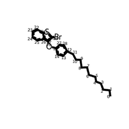 CCCCCCCCCCCCc1ccc(Oc2c(Br)sc3ccccc23)cc1